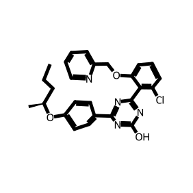 CCC[C@H](C)Oc1ccc(-c2nc(O)nc(-c3c(Cl)cccc3OCc3ccccn3)n2)cc1